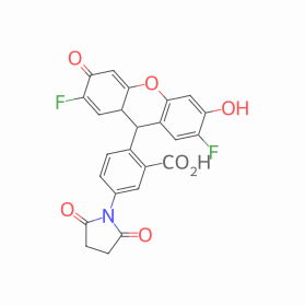 O=C1C=C2Oc3cc(O)c(F)cc3C(c3ccc(N4C(=O)CCC4=O)cc3C(=O)O)C2C=C1F